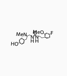 CNC(CNC(=O)NCCc1ccc(F)cc1OC)Cc1ccc(O)cc1